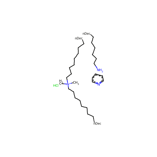 CCCCCCCCCCCCCCCCCC[N+](C)(C)CCCCCCCCCCCCCCCCCC.CCCCCCCCCCCCCCCCN.Cl.c1ccncc1